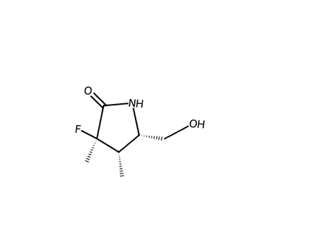 C[C@H]1[C@@H](CO)NC(=O)[C@]1(C)F